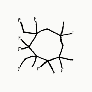 CC1(F)CC(C)(F)C(F)(F)C(C)(CF)C(F)(F)C(F)(CF)C1